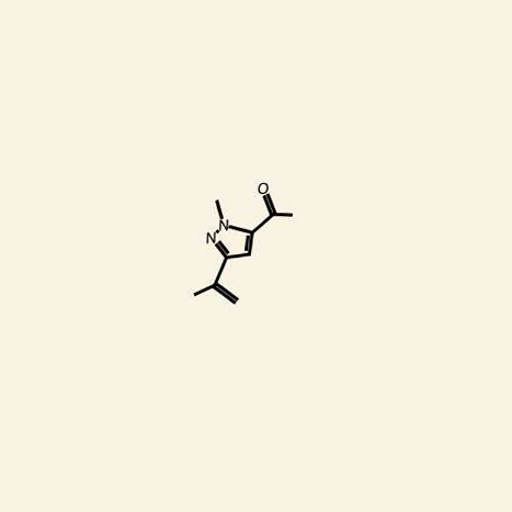 C=C(C)c1cc(C(C)=O)n(C)n1